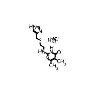 Cc1nc(NCCSCc2c[nH]cn2)[nH]c(=O)c1C.Cl.Cl